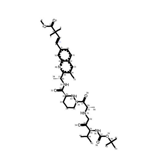 COC(=O)C(C)(C)/C=C/c1ccc2cc(C)c([C@@H](C)NC(=O)[C@@H]3CCCN(C(=O)[C@H](C)NCC(=O)[C@@H](NC(=O)OC(C)(C)C)C(C)C)N3)nc2c1